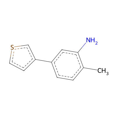 Cc1ccc(-c2ccsc2)cc1N